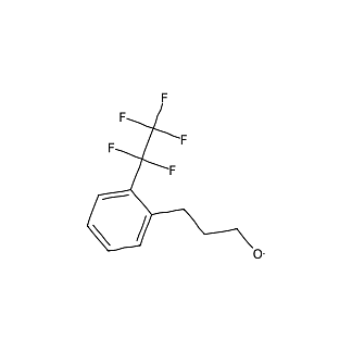 [O]CCCc1ccccc1C(F)(F)C(F)(F)F